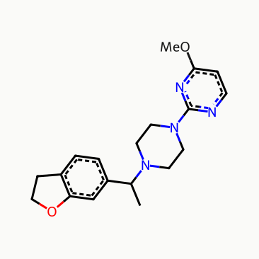 COc1ccnc(N2CCN(C(C)c3ccc4c(c3)OCC4)CC2)n1